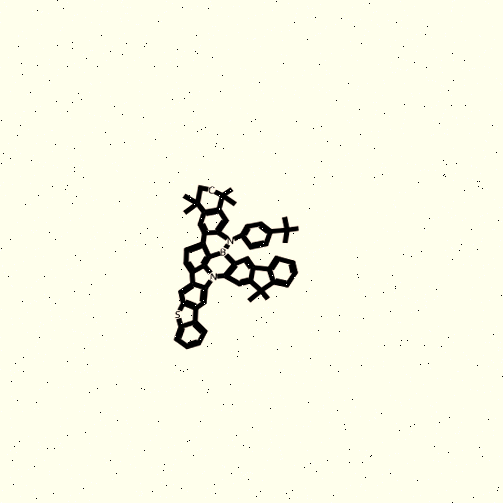 CC(C)(C)c1ccc(N2B3c4cc5c(cc4-n4c6cc7c(cc6c6ccc(c3c64)-c3cc4c(cc32)C(C)(C)CCC4(C)C)sc2ccccc27)C(C)(C)c2ccccc2-5)cc1